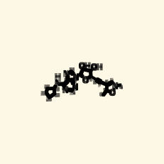 CC1ON(C)C=C1C#C[C@H]1O[C@@H](n2cnc3c(NC4CCCC4)ncnc32)[C@H](O)[C@@H]1O